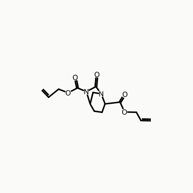 C=CCOC(=O)C1CCC2CN1C(=O)N2C(=O)OCC=C